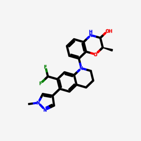 C[C@H]1Oc2c(cccc2N2CCCc3cc(-c4cnn(C)c4)c(C(F)F)cc32)NC1O